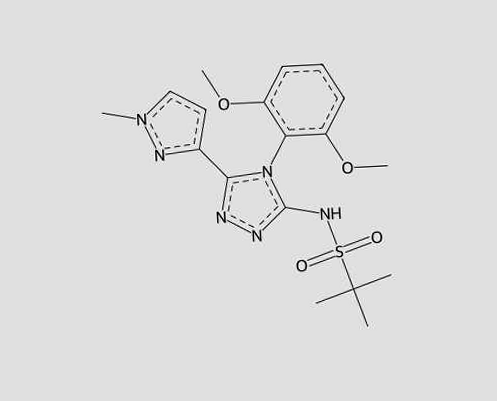 COc1cccc(OC)c1-n1c(NS(=O)(=O)C(C)(C)C)nnc1-c1ccn(C)n1